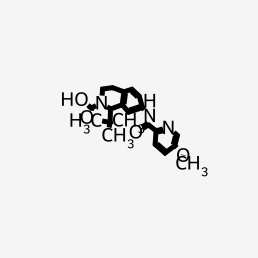 COc1ccc(C(=O)Nc2ccc3c(c2)C(C(C)(C)C)N(C(=O)O)CC3)nc1